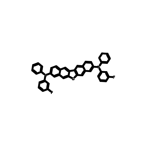 Fc1cccc(N(C2=CC=CCC2)c2ccc3cc4c(cc3c2)oc2cc3cc(N(c5ccccc5)c5cccc(F)c5)ccc3cc24)c1